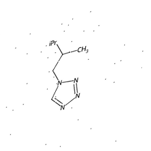 CC(C)C(C)Cn1cnnn1